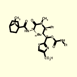 CCNC(=O)O[C@H](C[C@H](C(C)C)N(C)C(=O)[C@@H](NC(=O)C12CCC(CC1)N2C)[C@@H](C)CC)c1nc(C(=O)O)cs1